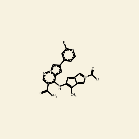 CCC(=O)[N+]1=CC2=CC(Nc3c(C(N)=O)cnn4cc(-c5ccnc(F)c5)cc34)=C(C)C2=C1